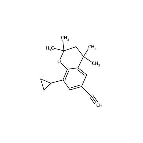 C#Cc1cc(C2CC2)c2c(c1)C(C)(C)CC(C)(C)O2